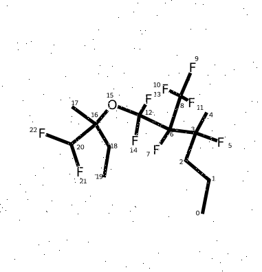 CCCC(C)(F)C(F)(C(F)(F)F)C(F)(F)OC(C)(CC)C(F)F